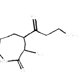 CCCCCCCCCCC(=O)C1CCCNC(=O)C1N